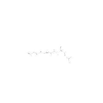 CC(C)OCC(C)OCCOCCOCCO